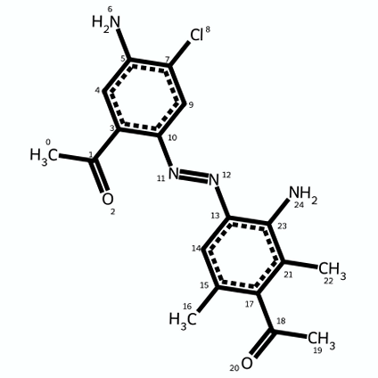 CC(=O)c1cc(N)c(Cl)cc1N=Nc1cc(C)c(C(C)=O)c(C)c1N